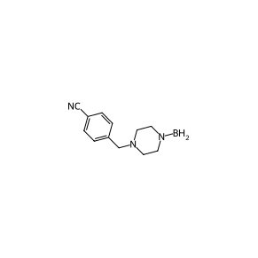 BN1CCN(Cc2ccc(C#N)cc2)CC1